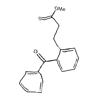 COC(=O)CCc1ccccc1C(=O)c1ccccc1